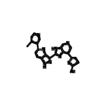 CC(=O)c1ccc(-c2cncc3[nH]c(-c4n[nH]c5ccc(-c6cnccc6C)nc45)nc23)s1